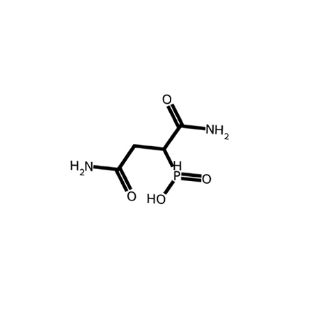 NC(=O)CC(C(N)=O)[PH](=O)O